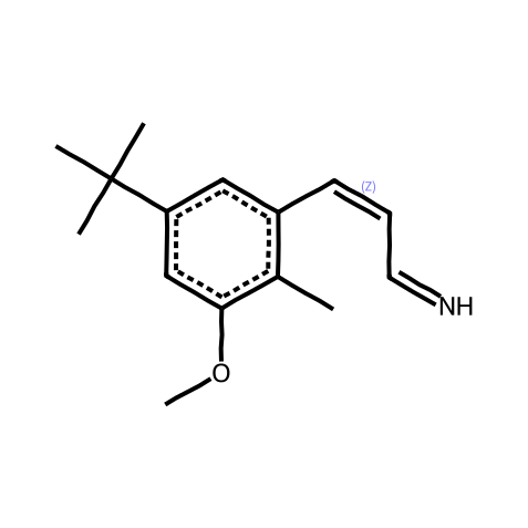 COc1cc(C(C)(C)C)cc(/C=C\C=N)c1C